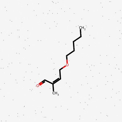 CCCCCOC/C=C(/C)C=O